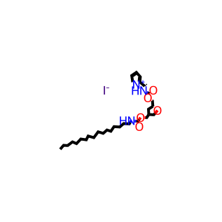 CCCCCCCCCCCCCCCCCNC(=O)OCC1COC(COC(=O)NCC2=CC=CC=[N+]2)C1.[I-]